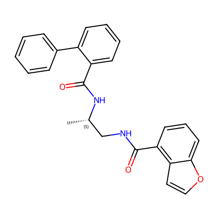 C[C@@H](CNC(=O)c1cccc2occc12)NC(=O)c1ccccc1-c1ccccc1